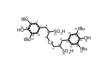 CC(C)(C)c1cc(CC([CH2][Ca][CH2]C(Cc2cc(C(C)(C)C)c(O)c(C(C)(C)C)c2)S(=O)(=O)O)S(=O)(=O)O)cc(C(C)(C)C)c1O